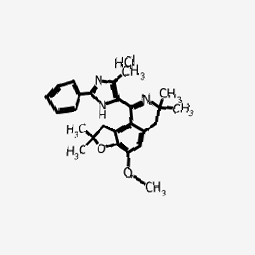 COc1cc2c(c3c1OC(C)(C)C3)C(c1[nH]c(-c3ccccc3)nc1C)=NC(C)(C)C2.Cl